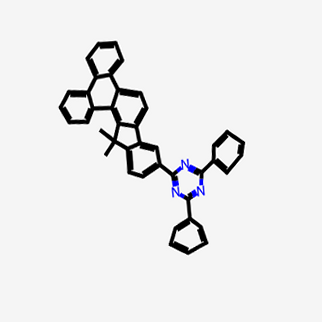 CC1(C)c2ccc(-c3nc(-c4ccccc4)nc(-c4ccccc4)n3)cc2-c2ccc3c4ccccc4c4ccccc4c3c21